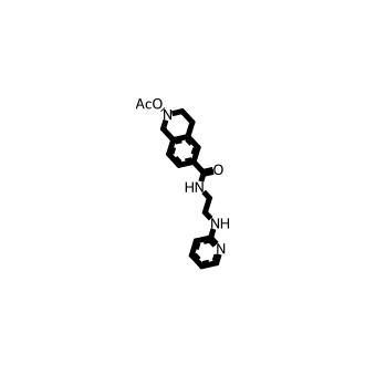 CC(=O)ON1CCc2cc(C(=O)NCCNc3ccccn3)ccc2C1